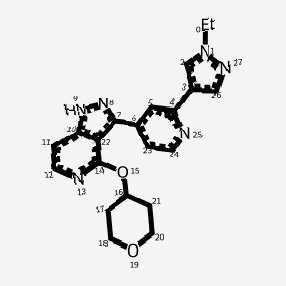 CCn1cc(-c2cc(-c3n[nH]c4ccnc(OC5CCOCC5)c34)ccn2)cn1